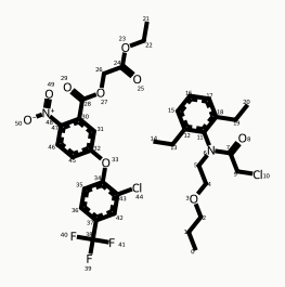 CCCOCCN(C(=O)CCl)c1c(CC)cccc1CC.CCOC(=O)COC(=O)c1cc(Oc2ccc(C(F)(F)F)cc2Cl)ccc1[N+](=O)[O-]